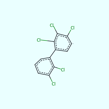 Clc1[c]cc(-c2cccc(Cl)c2Cl)c(Cl)c1Cl